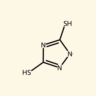 SC1=NC(S)=N[N]1